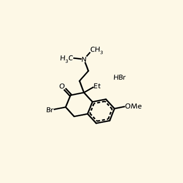 Br.CCC1(CCN(C)C)C(=O)C(Br)Cc2ccc(OC)cc21